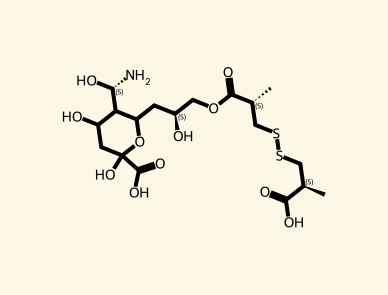 C[C@H](CSSC[C@@H](C)C(=O)OC[C@@H](O)CC1OC(O)(C(=O)O)CC(O)C1[C@@H](N)O)C(=O)O